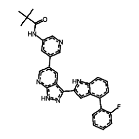 CC(C)(C)C(=O)Nc1cncc(-c2cnc3[nH]nc(-c4cc5c(-c6ccccc6F)cccc5[nH]4)c3c2)c1